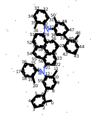 Cc1ccccc1-c1ccc(C)c(N(c2ccccc2C)c2ccc3ccc4c(N(c5ccccc5C)c5cc(-c6ccccc6C)ccc5C)ccc5ccc2c3c54)c1